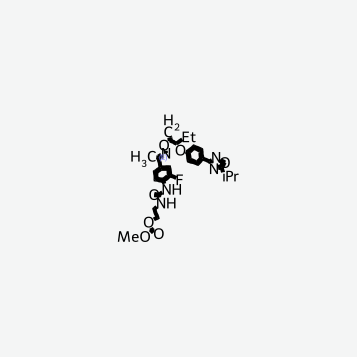 C=C(O/N=C(\C)c1ccc(NC(=O)NCCOC(=O)OC)c(F)c1)C(CC)Oc1ccc(-c2noc(C(C)C)n2)cc1